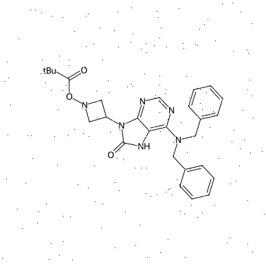 CC(C)(C)C(=O)ON1CC(n2c(=O)[nH]c3c(N(Cc4ccccc4)Cc4ccccc4)ncnc32)C1